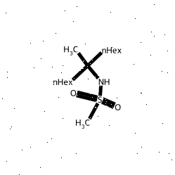 CCCCCCC(C)(CCCCCC)NS(C)(=O)=O